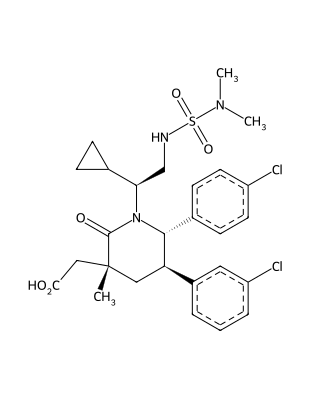 CN(C)S(=O)(=O)NC[C@H](C1CC1)N1C(=O)[C@@](C)(CC(=O)O)C[C@H](c2cccc(Cl)c2)[C@H]1c1ccc(Cl)cc1